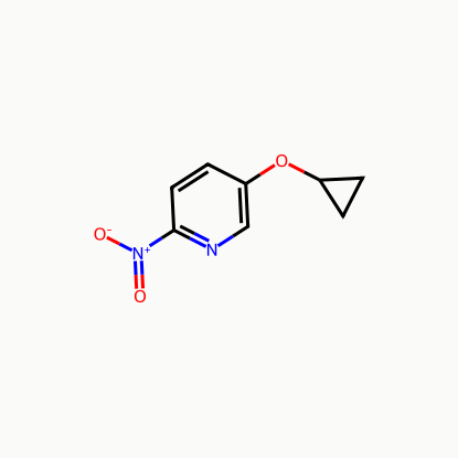 O=[N+]([O-])c1ccc(OC2CC2)cn1